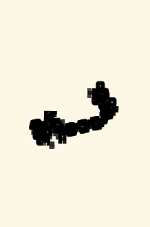 CN(c1ncccc1CNc1nc(Nc2ccc(N3CCC(N4CCN(Cc5cc(F)c6c(c5)CN(C5CCC(=O)NC5=O)C6=O)CC4)CC3)cc2)ncc1C(F)(F)F)S(C)(=O)=O